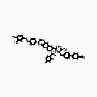 Cc1ccc(C(=O)N2Cc3cc4c(cc3C[C@H]2C(=O)NC(Cc2ccc(-c3ccc(C#N)cc3)cc2)C(=O)O)OC[C@H](c2ccc(OCc3ccc(Cl)c(Cl)c3)cc2)O4)cc1